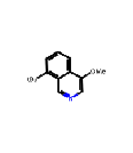 COc1cncc2c(C(C)(C)C)cccc12